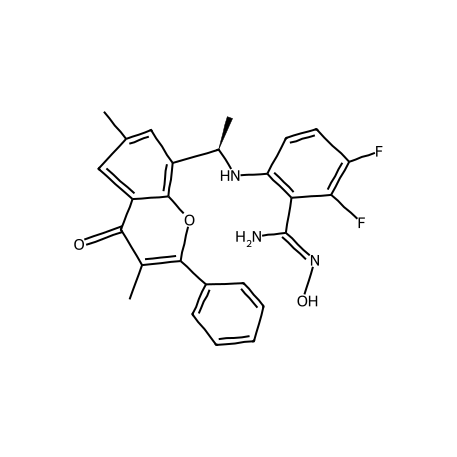 Cc1cc([C@@H](C)Nc2ccc(F)c(F)c2/C(N)=N/O)c2oc(-c3ccccc3)c(C)c(=O)c2c1